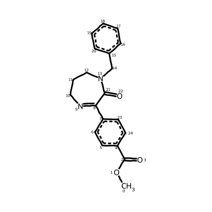 COC(=O)c1ccc(C2=NCCCN(Cc3ccccc3)C2=O)cc1